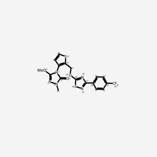 COc1nn(C)c(=O)n1-c1ccsc1COc1nc(-c2ccc(C(F)(F)F)cc2)ns1